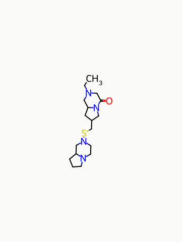 CCN1CC(=O)N2CC(CSN3CCN4CCCC4C3)CC2C1